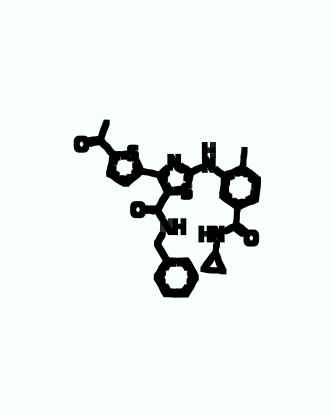 CC(=O)c1ccc(-c2nc(Nc3cc(C(=O)NC4CC4)ccc3C)sc2C(=O)NCc2ccccc2)s1